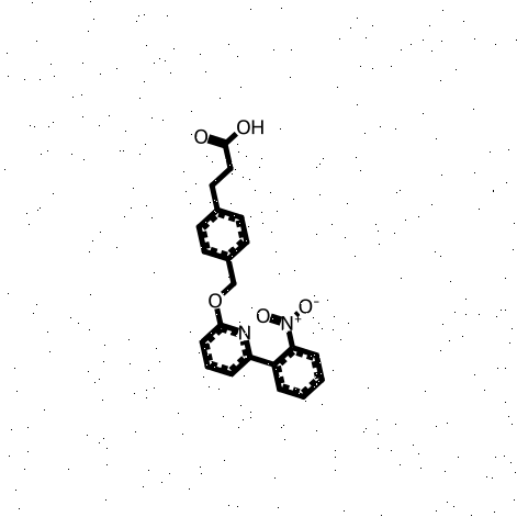 O=C(O)CCc1ccc(COc2cccc(-c3ccccc3[N+](=O)[O-])n2)cc1